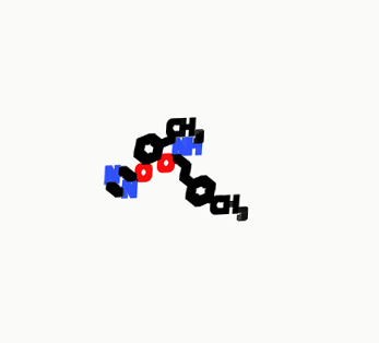 Cc1ccc(C=CC(=O)NC(C)c2cccc(Oc3cnccn3)c2)cc1